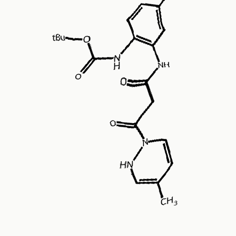 CC1=CNN(C(=O)CC(=O)Nc2cc(Br)ccc2NC(=O)OC(C)(C)C)C=C1